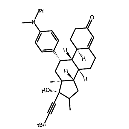 CC(C)N(C)c1ccc([C@H]2C[C@@]3(C)[C@@H](CC(C)[C@@]3(O)C#CC(C)(C)C)[C@@H]3CCC4=CC(=O)CC[C@@H]4[C@H]32)cc1